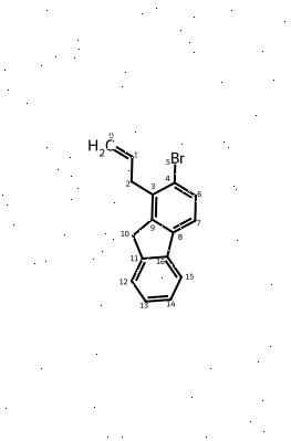 C=CCc1c(Br)ccc2c1Cc1ccccc1-2